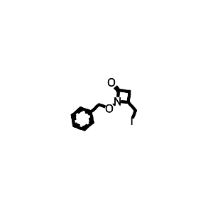 O=C1CC(CI)N1OCc1ccccc1